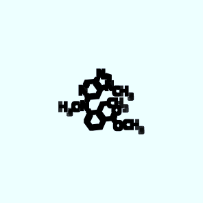 CCc1c(C(=O)OC)cccc1N(C)c1cc2c(cn1)ncn2C